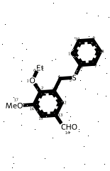 CCOc1c(CSc2ccccc2)cc(C=O)cc1OC